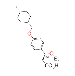 CCO[C@@H](CC(=O)O)c1ccc(OC[C@H]2CC[C@@H](C)CC2)cc1